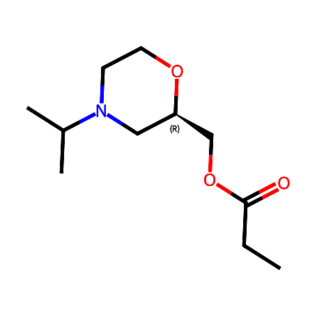 CCC(=O)OC[C@H]1CN(C(C)C)CCO1